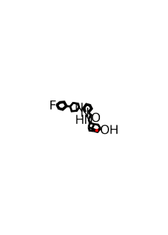 O=C(NC1C2CC3CC1CC(O)(C3)C2)c1cccc(N2CCC(c3ccc(F)cc3)CC2)n1